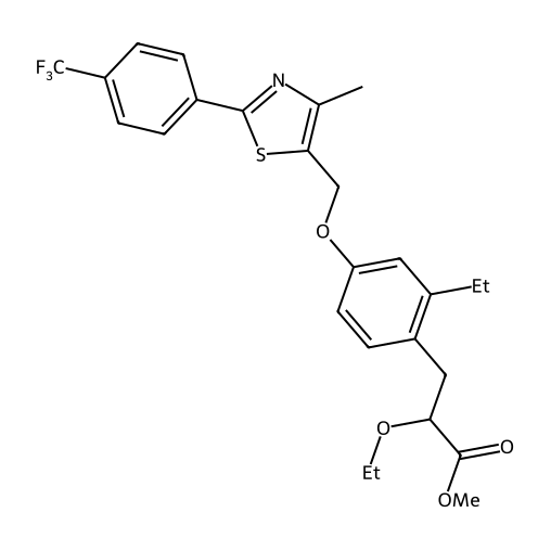 CCOC(Cc1ccc(OCc2sc(-c3ccc(C(F)(F)F)cc3)nc2C)cc1CC)C(=O)OC